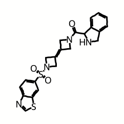 O=C(C1NCc2ccccc21)N1CC(=C2CN(S(=O)(=O)c3ccc4ncsc4c3)C2)C1